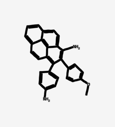 COc1ccc(-c2c(N)c3ccc4cccc5ccc(c2-c2ccc(N)cc2)c3c45)cc1